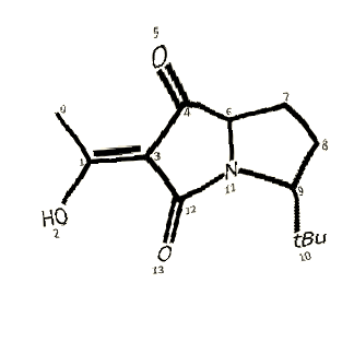 C/C(O)=C1\C(=O)C2CCC(C(C)(C)C)N2C1=O